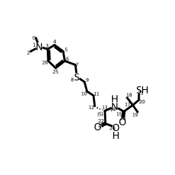 CN(C)c1ccc(CSCCCC[C@H](NC(=O)C(C)(C)CS)C(=O)O)cc1